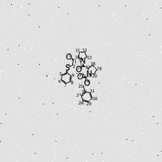 O=C(CSc1ccccc1)[C@@H]1CCCN1C(=O)[C@H]1CCCN1C(=O)OCc1ccccc1